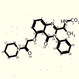 CC(NC(=O)O)c1nc2cccc(OCC(=O)N3CCCCC3)c2c(=O)n1-c1ccccc1